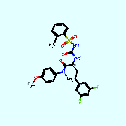 Cc1ccccc1S(=O)(=O)NC(=O)N[C@@H](CCc1cc(F)cc(F)c1)C(=O)N(C)c1ccc(OC(F)(F)F)cc1